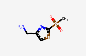 CS(=O)(=O)c1nc(CN)cs1